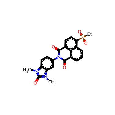 CCS(=O)(=O)c1ccc2c3c(cccc13)C(=O)N(c1ccc3c(c1)n(C)c(=O)n3C)C2=O